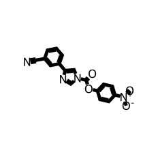 N#Cc1cccc(-c2cn(C(=O)Oc3ccc([N+](=O)[O-])cc3)cn2)c1